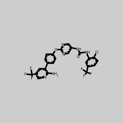 Nc1ncc(C(F)(F)F)cc1-c1ccc(Oc2ncc(NC(=O)Nc3cc(C(F)(F)F)ccc3Cl)cn2)cc1